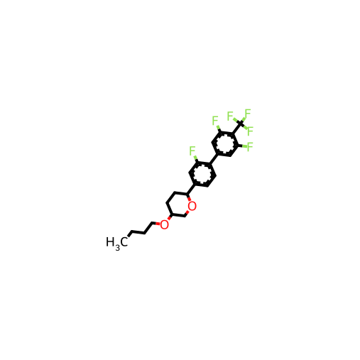 CCCCOC1CCC(c2ccc(-c3cc(F)c(C(F)(F)F)c(F)c3)c(F)c2)OC1